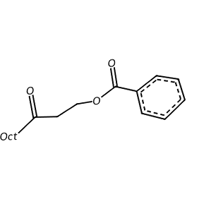 CCCCCCCCC(=O)CCOC(=O)c1ccccc1